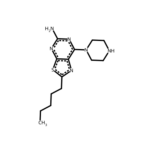 CCCCCc1nc2c(N3CCNCC3)nc(N)nc2s1